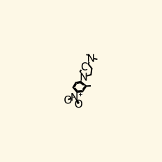 Cc1cc([N+](=O)[O-])ccc1N1CCC(N(C)C)CC1